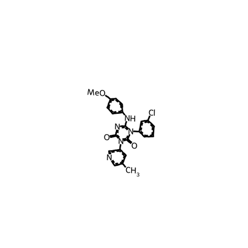 COc1ccc(Nc2nc(=O)n(-c3cncc(C)c3)c(=O)n2-c2cccc(Cl)c2)cc1